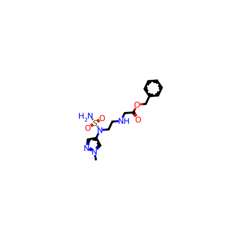 Cn1cc(N(CCNCC(=O)OCc2ccccc2)S(N)(=O)=O)cn1